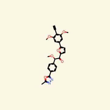 C#Cc1c(OC)cc(-c2ccc(C(=O)C(OC)c3ccc(-c4nnc(C)o4)cc3)o2)cc1OC